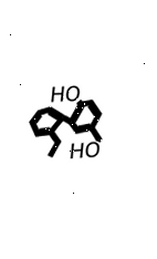 CCc1ccccc1-c1cc(CO)ccc1O